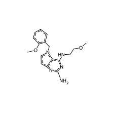 COCCNc1nc(N)nc2ccn(Cc3ccccc3OC)c12